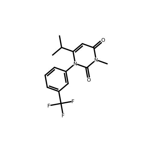 CC(C)c1cc(=O)n(C)c(=O)n1-c1cccc(C(F)(F)F)c1